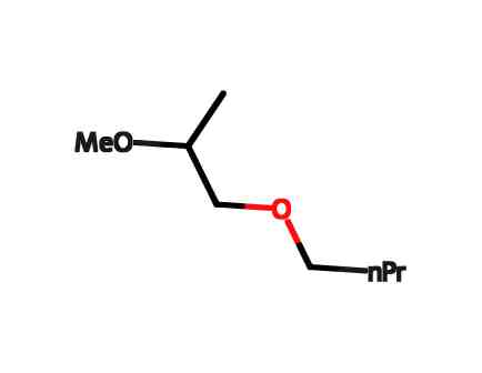 CCCCOCC(C)OC